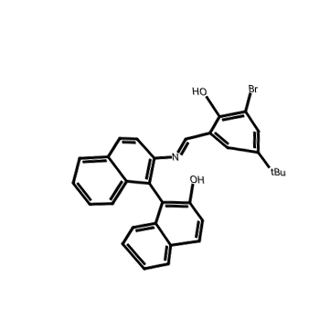 CC(C)(C)c1cc(Br)c(O)c(C=Nc2ccc3ccccc3c2-c2c(O)ccc3ccccc23)c1